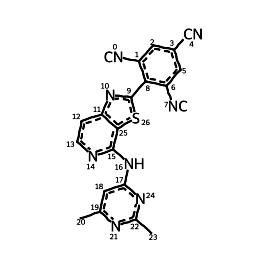 [C-]#[N+]c1cc(C#N)cc([N+]#[C-])c1-c1nc2ccnc(Nc3cc(C)nc(C)n3)c2s1